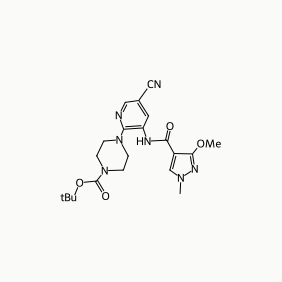 COc1nn(C)cc1C(=O)Nc1cc(C#N)cnc1N1CCN(C(=O)OC(C)(C)C)CC1